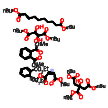 CCCCOC(=O)/C=C\C(=O)OCCCC.CCCCOC(=O)C(O)C(O)C(=O)OCCCC.CCCCOC(=O)CC(O)(CC(=O)OCCCC)C(=O)OCCCC.CCCCOC(=O)CCCCCCCCC(=O)OCCCC.CCOC(=O)c1ccccc1C(=O)OCC.COC(=O)c1ccccc1C(=O)OC